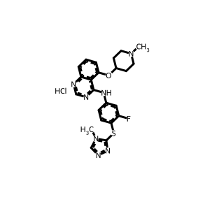 CN1CCC(Oc2cccc3ncnc(Nc4ccc(Sc5nncn5C)c(F)c4)c23)CC1.Cl